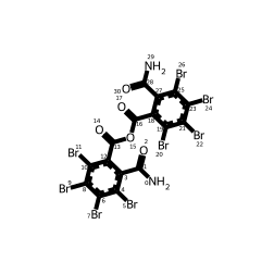 NC(=O)c1c(Br)c(Br)c(Br)c(Br)c1C(=O)OC(=O)c1c(Br)c(Br)c(Br)c(Br)c1C(N)=O